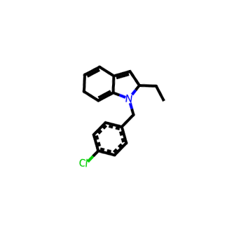 CCC1C=C2C=CCC=C2N1Cc1ccc(Cl)cc1